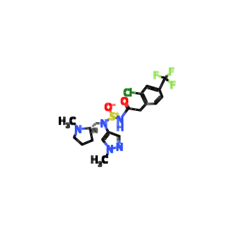 CN1CCC[C@H]1CN(c1cnn(C)c1)[S+]([O-])NC(=O)Cc1ccc(C(F)(F)F)cc1Cl